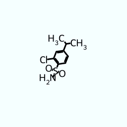 CC(C)c1ccc(S(N)(=O)=O)c(Cl)c1